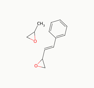 C(=CC1CO1)c1ccccc1.CC1CO1